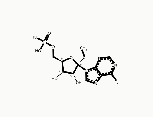 CC[C@@]1(n2cnc3c(S)ncnc32)O[C@H](COP(=O)(O)O)[C@@H](O)[C@H]1O